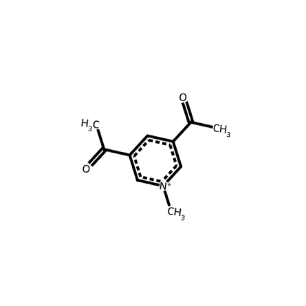 CC(=O)c1cc(C(C)=O)c[n+](C)c1